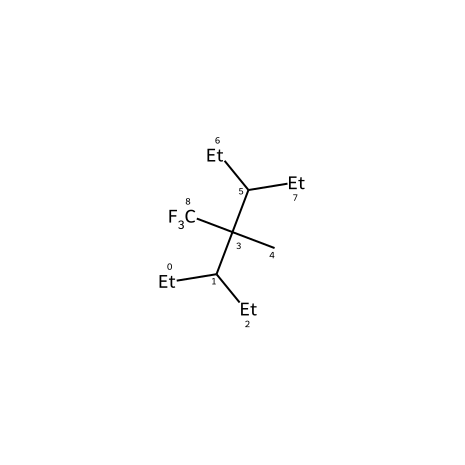 CCC(CC)C(C)(C(CC)CC)C(F)(F)F